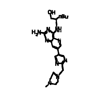 CCCCC(CO)Nc1nc(N)nc2cc(-c3cnc(CN4CCN(C)CC4)nc3)cnc12